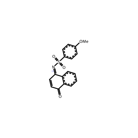 COc1ccc(S(=O)(=O)/N=C2/C=CC(=O)c3ccccc32)cc1